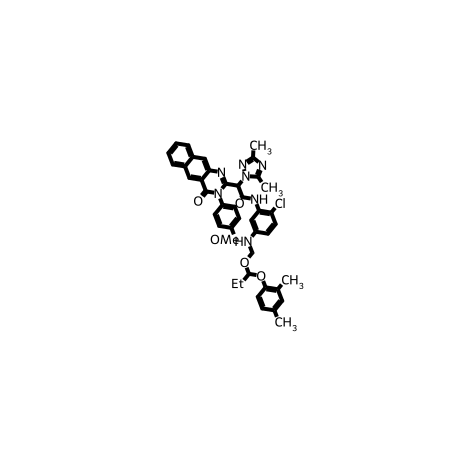 CCC(OCNc1ccc(Cl)c(NC(=O)C(c2nc3cc4ccccc4cc3c(=O)n2-c2ccc(OC)cc2)n2nc(C)nc2C)c1)Oc1ccc(C)cc1C